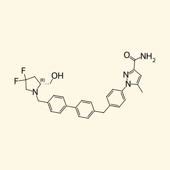 Cc1cc(C(N)=O)nn1-c1ccc(Cc2ccc(-c3ccc(CN4CC(F)(F)C[C@@H]4CO)cc3)cc2)cc1